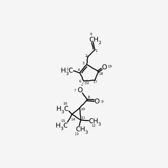 C=CCC1=C(C)[C@@H](OC(=O)C2C(C)(C)C2(C)C)CC1=O